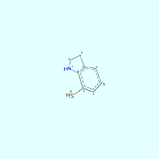 Sc1cccc2c1NCC2